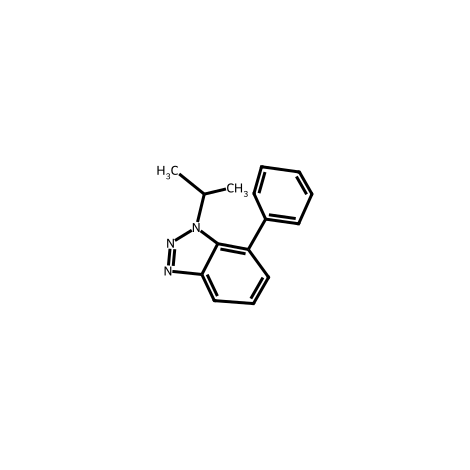 CC(C)n1nnc2cccc(-c3ccccc3)c21